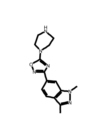 Cc1nn(C)c2cc(-c3noc(N4CCNCC4)n3)ccc12